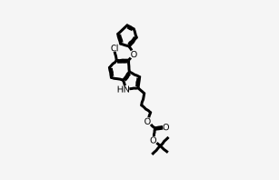 CC(C)(C)OC(=O)OCCCc1cc2c(Oc3ccccc3)c(Cl)ccc2[nH]1